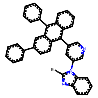 CCc1nc2ccccc2n1-c1cncc(-c2c3ccccc3c(-c3ccccc3)c3cc(-c4ccccc4)ccc23)c1